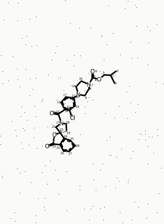 CC(C)COC(=O)N1CCN(c2ccc(C(=O)N3CC[C@@]4(C3)OC(=O)c3ccccc34)c(Cl)c2)CC1